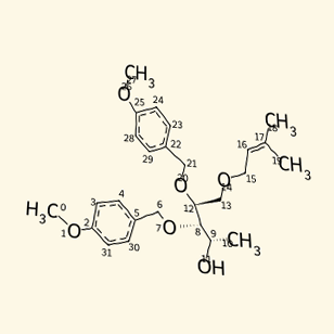 COc1ccc(CO[C@@H]([C@H](C)O)[C@H](COCC=C(C)C)OCc2ccc(OC)cc2)cc1